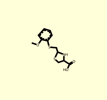 COc1ccccc1SCC1NC(C(=O)O)CS1